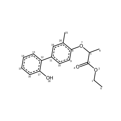 CCOC(=O)C(C)Oc1ccc(-c2ccccc2O)cc1C